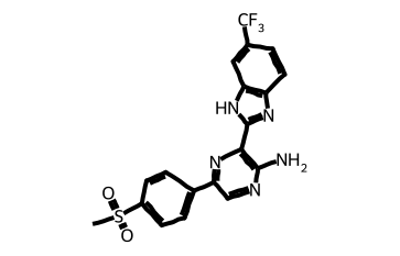 CS(=O)(=O)c1ccc(-c2cnc(N)c(-c3nc4ccc(C(F)(F)F)cc4[nH]3)n2)cc1